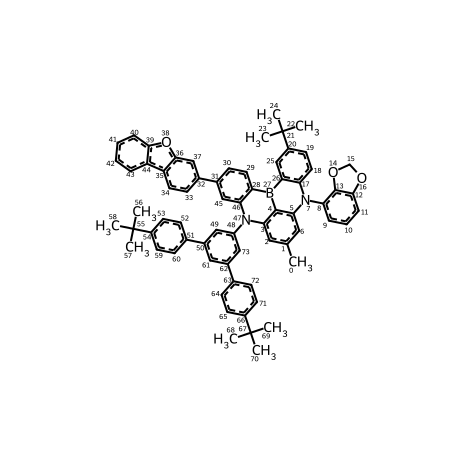 Cc1cc2c3c(c1)N(c1cccc4c1OCO4)c1ccc(C(C)(C)C)cc1B3c1ccc(-c3ccc4c(c3)oc3ccccc34)cc1N2c1cc(-c2ccc(C(C)(C)C)cc2)cc(-c2ccc(C(C)(C)C)cc2)c1